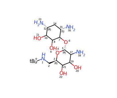 CC(C)(C)NC[C@H]1O[C@H](OC2C(O)C(O)[C@H](N)C[C@@H]2N)C(N)C(O)C1O